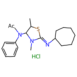 CC(=O)N(c1ccccc1)C1C(C)SC(=NC2CCCCCC2)N1C.Cl